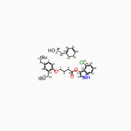 CC(C)(C)Cc1ccc(OCCCC(=O)Oc2c[nH]c3cccc(Cl)c23)c(CC(C)(C)C)c1.O=C(O)CC1=CC=CCC1